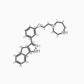 c1cc(OCCN2CCCNCC2)cc(-c2n[nH]c3c2Cc2ccccc2-3)c1